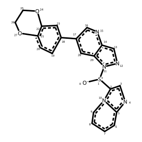 [O-][S+](c1cnc2ccccn12)n1ncc2ncc(-c3ccc4c(c3)OCCO4)cc21